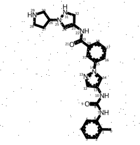 Cc1ccccc1NC(=O)Nc1cnn(-c2cccc(C(=O)NC3=CN(C4CCNC4)NC3)c2)c1